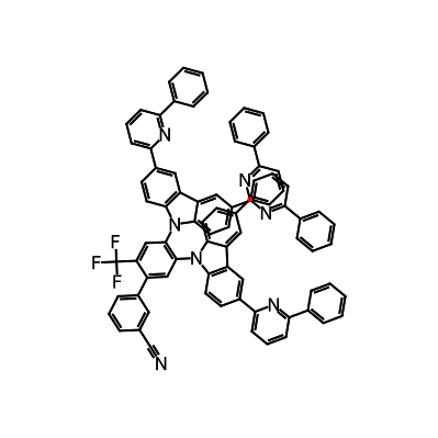 N#Cc1cccc(-c2cc(-n3c4ccc(-c5cccc(-c6ccccc6)n5)cc4c4cc(-c5cccc(-c6ccccc6)n5)ccc43)c(-n3c4ccc(-c5cccc(-c6ccccc6)n5)cc4c4cc(-c5cccc(-c6ccccc6)n5)ccc43)cc2C(F)(F)F)c1